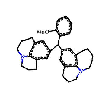 COc1ccccc1C(c1cc2c3c(c1)CCCN3CCC2)c1cc2c3c(c1)CCCN3CCC2